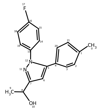 Cc1ccc(-c2cc(C(C)O)nn2-c2ccc(F)cc2)cc1